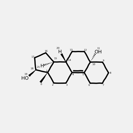 C[C@]12CCC3=C4CCCC[C@]4(O)CC[C@H]3[C@@H]1CC[C@@H]2O